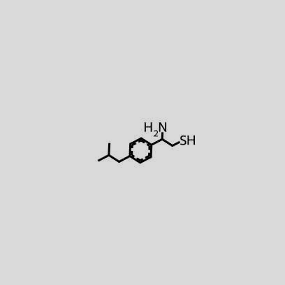 CC(C)Cc1ccc(C(N)CS)cc1